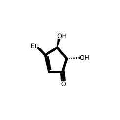 CCC1=CC(=O)[C@@H](O)[C@@H]1O